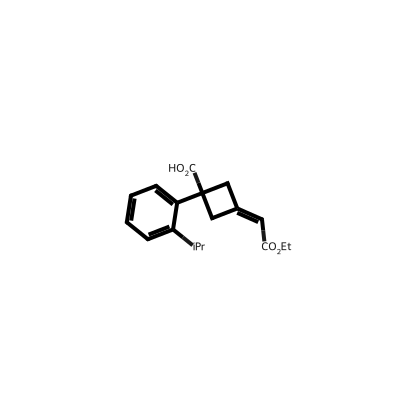 CCOC(=O)C=C1CC(C(=O)O)(c2ccccc2C(C)C)C1